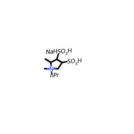 CCC[N+]1(C)CC(S(=O)(=O)O)C(S(=O)(=O)O)C1C.[NaH]